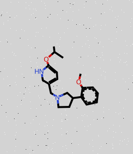 COc1ccccc1C1CCN(CC2=CC=C(OC(C)C)NC2)C1